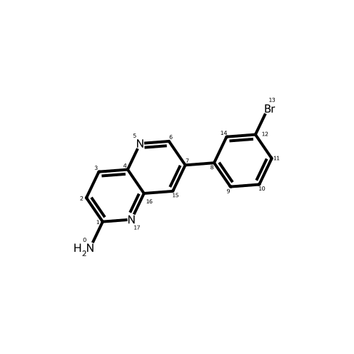 Nc1ccc2ncc(-c3cccc(Br)c3)cc2n1